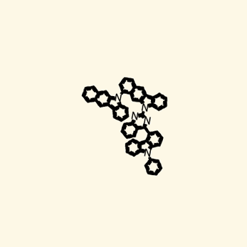 c1ccc(-n2c3ccccc3c3c(-c4nc(-n5c6ccccc6c6cc7cccc(-n8c9ccccc9c9cc%10ccccc%10cc98)c7cc65)nc5ccccc45)cccc32)cc1